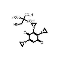 CCCCCCCCC(CS)(CCCCCCCC)C(=O)O.O=C1C=C(N2CC2)C(=O)C(N2CC2)=C1N1CC1